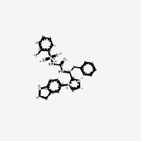 O=C(N[C@@H](Cc1ccccc1)c1nccn1-c1ccc2c(c1)CCO2)NS(=O)(=O)c1ccccc1F